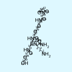 NCCCCC(NC(=O)C(CCCCNC(=O)CCOCCO)NC(=O)CCOCCOCCNC(=O)CCN1C(=O)C=CC1=O)C(N)=O